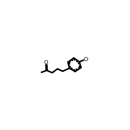 CC(=O)CCCc1ccc([O])cc1